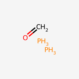 C=O.P.P